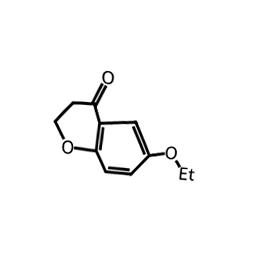 CCOc1ccc2c(c1)C(=O)CCO2